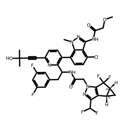 COCC(=O)Nc1nn(C)c2c(-c3ccc(C#CC(C)(C)O)nc3C(Cc3cc(F)cc(F)c3)NC(=O)Cn3nc(C(F)F)c4c3C(F)(F)[C@@H]3C[C@H]43)ccc(Cl)c12